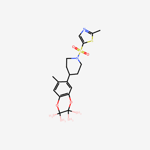 BC1(B)Oc2cc(C)c(C3CCN(S(=O)(=O)c4cnc(C)s4)CC3)cc2OC1(B)B